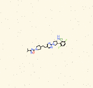 CC(C)c1noc(N2CCC(CCc3cnc(N4C[C@H](NCl)[C@@H](c5cc(F)ccc5F)C4)nc3)CC2)n1